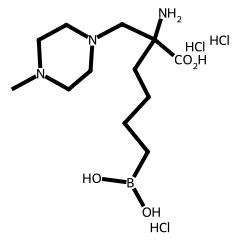 CN1CCN(CC(N)(CCCCB(O)O)C(=O)O)CC1.Cl.Cl.Cl